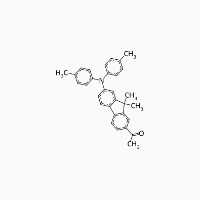 CC(=O)c1ccc2c(c1)C(C)(C)c1cc(N(c3ccc(C)cc3)c3ccc(C)cc3)ccc1-2